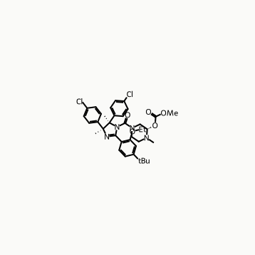 CCOc1cc(C(C)(C)C)ccc1C1=N[C@@](C)(c2ccc(Cl)cc2)[C@@](C)(c2ccc(Cl)cc2)N1C(=O)N1CCN(C)[C@@H](OC(=O)OC)C1